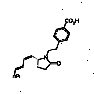 CCC/C=C/C=C\[C@H]1CCC(=O)N1CCc1ccc(C(=O)O)cc1